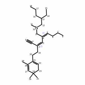 C#C/C(=C\C(=C/CCC)CN(C)CC(CC)CCC)CCC1=CCC(C)(C)C=C1C